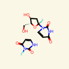 O=c1cc[nH]c(=O)n1F.O=c1ccn([C@@]2(F)C[C@H](O)[C@@H](CO)O2)c(=O)[nH]1